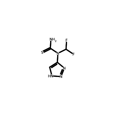 NC(=S)N(c1c[nH]nn1)C(F)F